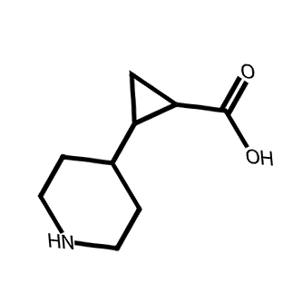 O=C(O)C1CC1C1CCNCC1